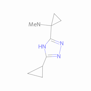 CNC1(c2nnc(C3CC3)[nH]2)CC1